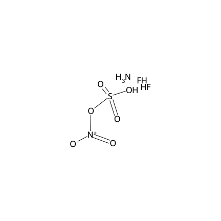 F.F.N.O=[N+]([O-])OS(=O)(=O)O